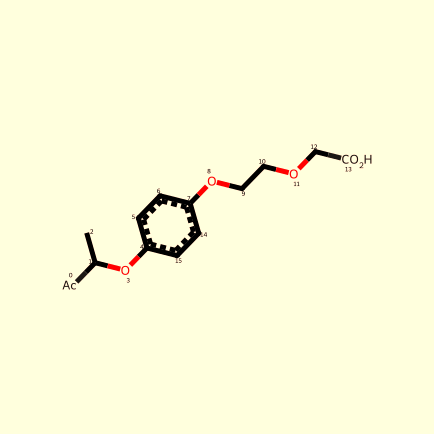 CC(=O)C(C)Oc1ccc(OCCOCC(=O)O)cc1